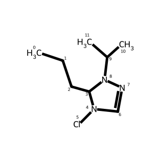 CCCC1N(Cl)C=NN1C(C)C